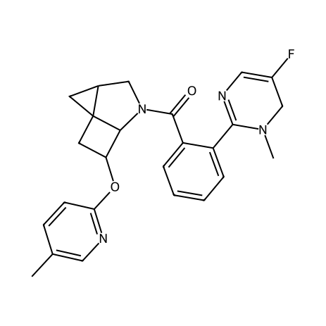 Cc1ccc(OC2CC34CC3CN(C(=O)c3ccccc3C3=NC=C(F)CN3C)C24)nc1